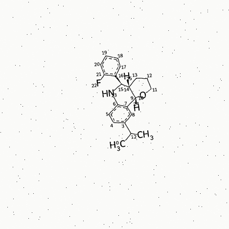 CC(C)c1ccc2c(c1)[C@H]1OCCC[C@H]1[C@H](c1ccccc1F)N2